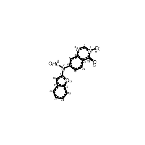 CCn1cnc2cc(N(C=O)c3cc4ccccc4o3)ccc2c1=O